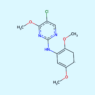 COC1=CC(Nc2ncc(Cl)c(OC)n2)=C(OC)C[CH]1